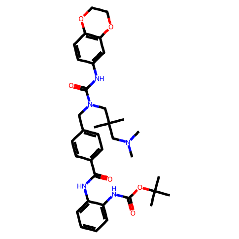 CN(C)CC(C)(C)CN(Cc1ccc(C(=O)Nc2ccccc2NC(=O)OC(C)(C)C)cc1)C(=O)Nc1ccc2c(c1)OCCO2